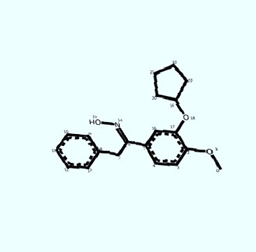 COc1ccc(/C(Cc2ccccc2)=N/O)cc1OC1CCCC1